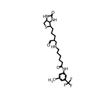 Cc1cc(NC(=O)CCCCCNCC(C=O)CCCC2SCC3NC(=O)NC32)cc(C(F)(F)F)c1